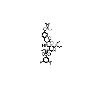 CCN(CC)c1ncc(N(CC)S(=O)(=O)c2cc(F)cc(F)c2)c(NC(Cc2ccc(OC(=O)N(C)C)cc2)C(=O)O)n1